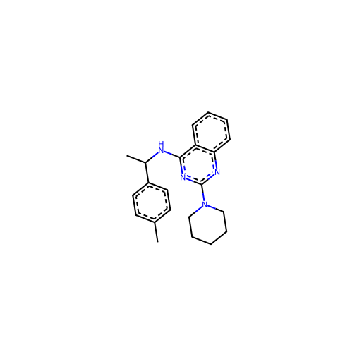 Cc1ccc(C(C)Nc2nc(N3CCCCC3)nc3ccccc23)cc1